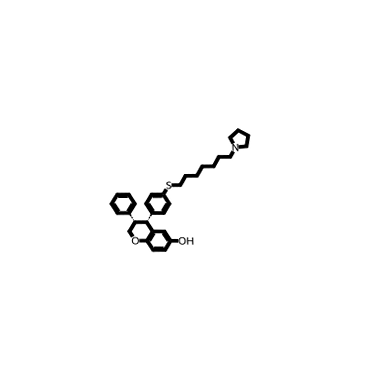 Oc1ccc2c(c1)[C@@H](c1ccc(SCCCCCCCN3CCCC3)cc1)[C@@H](c1ccccc1)CO2